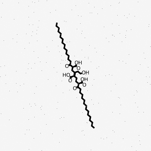 CCCCCCCCCCCCCCCC(=O)C(CCC(C(=O)O)=C(CCO)CC(C(=O)O)C(=O)CCCCCCCCCCCCCCC)C(=O)O